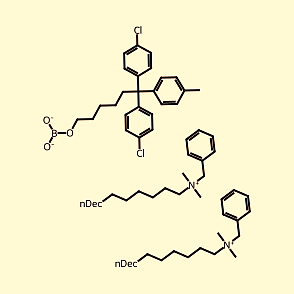 CCCCCCCCCCCCCCCC[N+](C)(C)Cc1ccccc1.CCCCCCCCCCCCCCCC[N+](C)(C)Cc1ccccc1.Cc1ccc(C(CCCCCOB([O-])[O-])(c2ccc(Cl)cc2)c2ccc(Cl)cc2)cc1